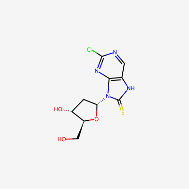 OC[C@@H]1O[C@@H](n2c(=S)[nH]c3cnc(Cl)nc32)C[C@H]1O